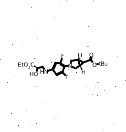 CCOC(=O)[C@H](O)CNc1cc(F)c(N2C[C@@H]3C(C(=O)OC(C)(C)C)[C@@H]3C2)c(F)c1